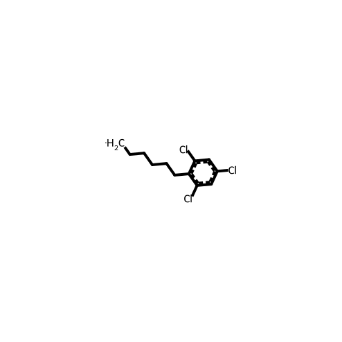 [CH2]CCCCCc1c(Cl)cc(Cl)cc1Cl